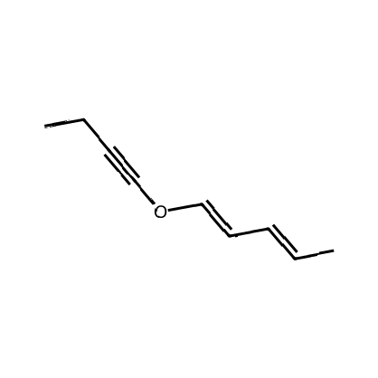 CC=CC=COC#CCC